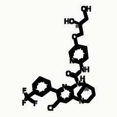 O=C(Nc1ccc(OC[C@@H](O)CO)cn1)N1c2nc(-c3cccc(C(F)(F)F)c3)c(Cl)cc2N2CCC[C@H]1C2